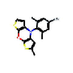 Cc1cc2c(s1)Oc1sccc1N2c1c(C)cc(C(C)(C)C)cc1C